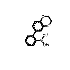 OB(O)c1ccccc1-c1ccc2c(c1)OCCO2